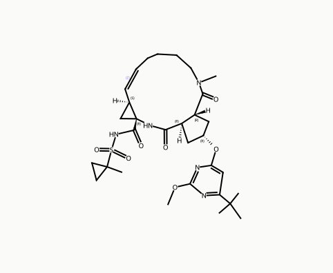 COc1nc(O[C@@H]2C[C@H]3C(=O)N[C@]4(C(=O)NS(=O)(=O)C5(C)CC5)C[C@H]4/C=C\CCCCN(C)C(=O)[C@@H]3C2)cc(C(C)(C)C)n1